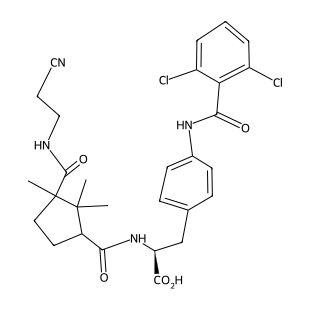 CC1(C(=O)NCCC#N)CCC(C(=O)N[C@@H](Cc2ccc(NC(=O)c3c(Cl)cccc3Cl)cc2)C(=O)O)C1(C)C